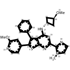 COc1cc(-c2sc3nc(-c4nccn4C)nc(N[C@H]4C[C@H](OC)C4)c3c2-c2ccccc2)ccn1